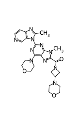 Cc1nc2ccncc2n1-c1nc(N2CCOCC2)c2nc(C(=O)N3CC(N4CCOCC4)C3)n(C)c2n1